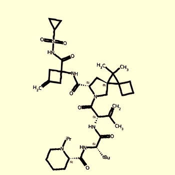 C=C1CC(NC(=O)[C@@H]2C[C@@]3(CN2C(=O)[C@@H](NC(=O)[C@@H](NC(=O)[C@@H]2CCCCN2C(C)C)C(C)(C)C)C(=C)C)C(C)(C)C32CCC2)(C(=O)NS(=O)(=O)C2CC2)C1